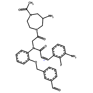 CC(=O)N1CCN(C(=O)CN(C(=O)/C=C\c2cccc(N)c2F)c2ccccc2OCc2cccc(C=O)c2)CC(N)C1